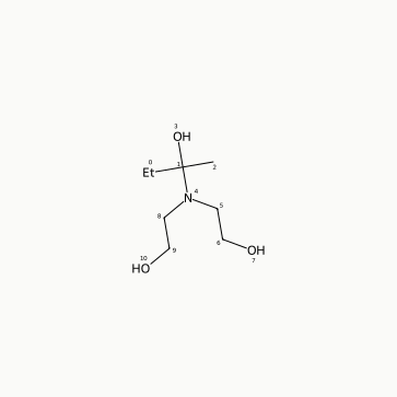 CCC(C)(O)N(CCO)CCO